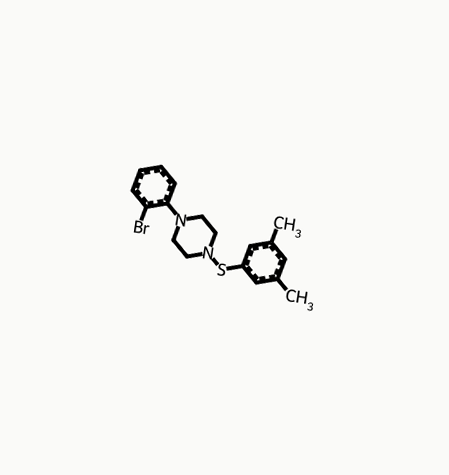 Cc1cc(C)cc(SN2CCN(c3ccccc3Br)CC2)c1